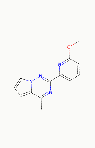 COc1cccc(-c2nc(C)c3cccn3n2)n1